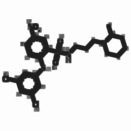 CC1CCCCN1CCCNS(=O)(=O)c1cc([N+](=O)[O-])ccc1Sc1cc(Cl)cc(Cl)c1